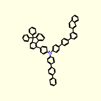 c1ccc(-c2ccc(-c3ccc(N(c4ccc(-c5ccc(-c6cccc(-c7ccc8ccccc8c7)c6)cc5)cc4)c4ccc(-c5cccc6c5-c5ccccc5C6(c5ccccc5)c5ccccc5)cc4)cc3)cc2)cc1